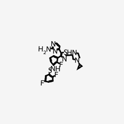 Nc1nccc(-c2sc(C3CN(C4CC4)CCN3)nc2-c2cccc(NSc3cc(F)ccc3F)c2F)n1